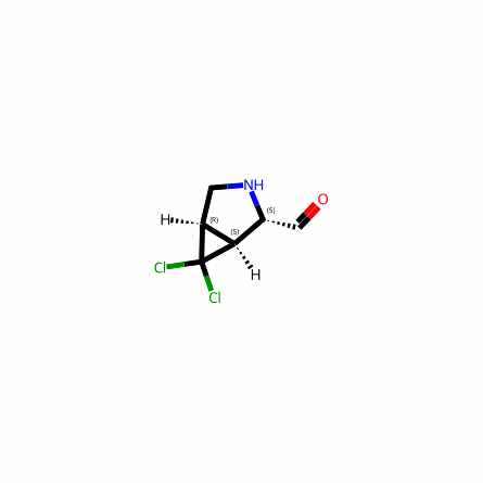 O=C[C@H]1NC[C@H]2[C@@H]1C2(Cl)Cl